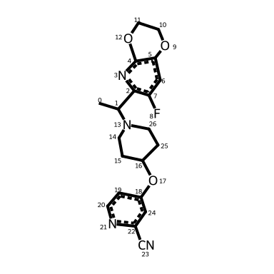 CC(c1nc2c(cc1F)OCCO2)N1CCC(Oc2ccnc(C#N)c2)CC1